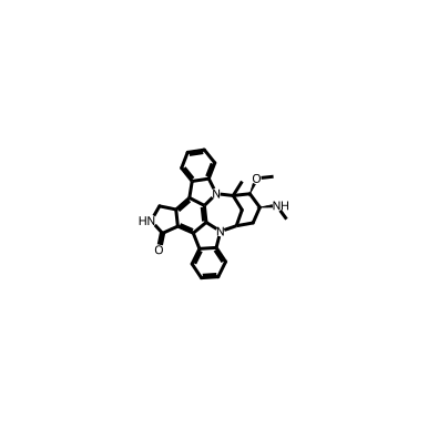 CN[C@H]1CC2CC(C)([C@H]1OC)n1c3ccccc3c3c4c(c5c6ccccc6n2c5c31)C(=O)NC4